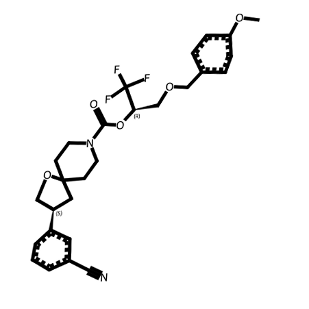 COc1ccc(COC[C@@H](OC(=O)N2CCC3(CC2)C[C@@H](c2cccc(C#N)c2)CO3)C(F)(F)F)cc1